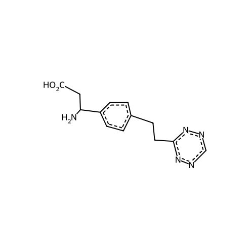 NC(CC(=O)O)c1ccc(CCc2nncnn2)cc1